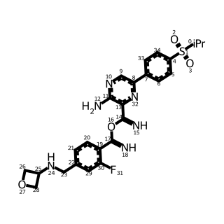 CC(C)S(=O)(=O)c1ccc(-c2cnc(N)c(C(=N)OC(=N)c3ccc(CNC4COC4)cc3F)n2)cc1